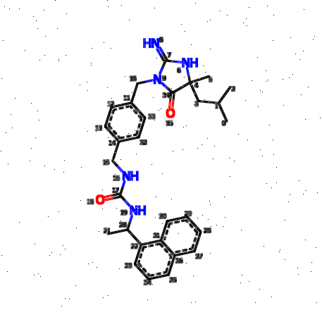 CC(C)CC1(C)NC(=N)N(Cc2ccc(CNC(=O)NC(C)c3cccc4ccccc34)cc2)C1=O